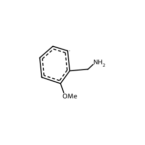 COc1ccc[c]c1CN